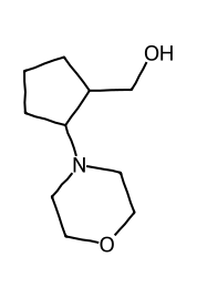 OCC1CCCC1N1CCOCC1